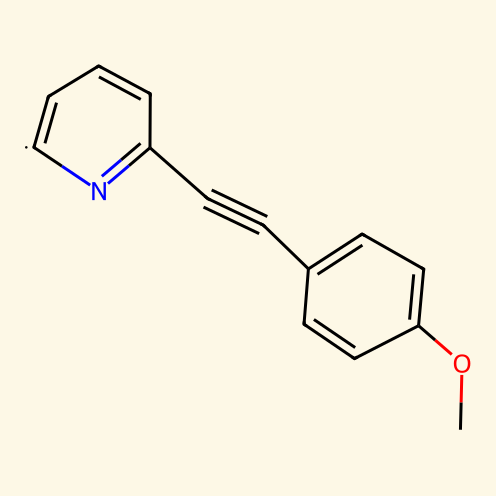 COc1ccc(C#Cc2ccc[c]n2)cc1